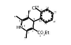 CCOC(=O)C1=C(C)NC(C)=C(C)C1c1ccccc1Cl